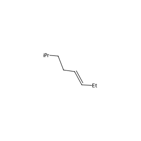 [CH2]C/C=C/CCC(C)C